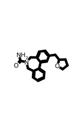 NC(=O)N1Cc2ccccc2-c2cc(CC3CCCO3)ccc2C1